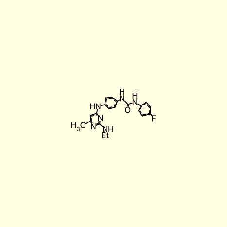 CCNc1nc(C)cc(Nc2ccc(NC(=O)Nc3ccc(F)cc3)cc2)n1